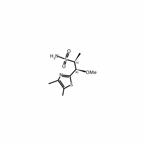 CO[C@@H](c1nc(C)c(C)s1)[C@H](C)S(N)(=O)=O